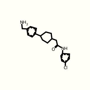 NCc1ccc(C2CCC(CC(=O)Nc3ccc(Cl)cc3)CC2)cc1